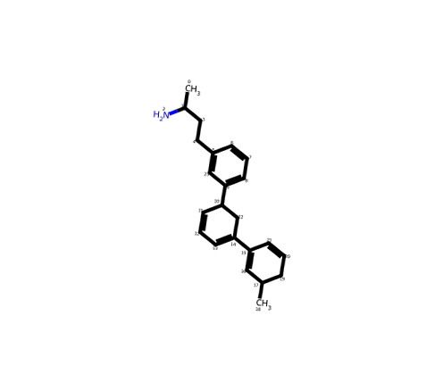 CC(N)CCc1cccc(C2C=CC=C(C3=CC(C)CC=C3)C2)c1